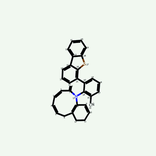 C=C1/C=C\C=C/CC2=C(C=CCC2)N1c1c(C#N)cccc1-c1cccc2c1sc1ccccc12